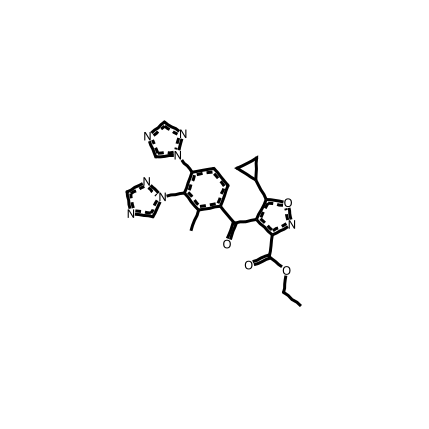 CCOC(=O)c1noc(C2CC2)c1C(=O)c1ccc(-n2cncn2)c(-n2cncn2)c1C